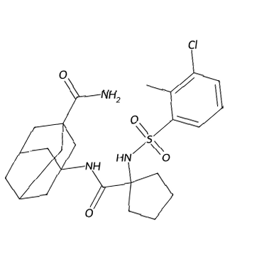 Cc1c(Cl)cccc1S(=O)(=O)NC1(C(=O)NC23CC4CC(C2)CC(C(N)=O)(C4)C3)CCCC1